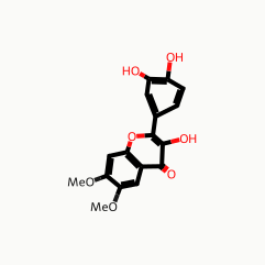 COc1cc2oc(-c3ccc(O)c(O)c3)c(O)c(=O)c2cc1OC